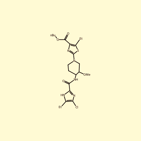 CCCCOC(=O)c1nc(N2CCC(NC(=O)c3nc(Cl)c(CC)[nH]3)C(OC)C2)sc1CC